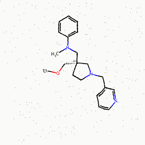 CCOC[C@@]1(CN(C)c2ccccc2)CCN(Cc2cccnc2)C1